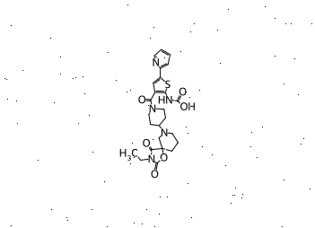 CCN1C(=O)OC2(CCCN(C3CCN(C(=O)c4cc(-c5ccccn5)sc4NC(=O)O)CC3)C2)C1=O